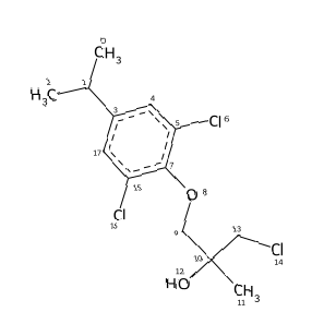 CC(C)c1cc(Cl)c(OCC(C)(O)CCl)c(Cl)c1